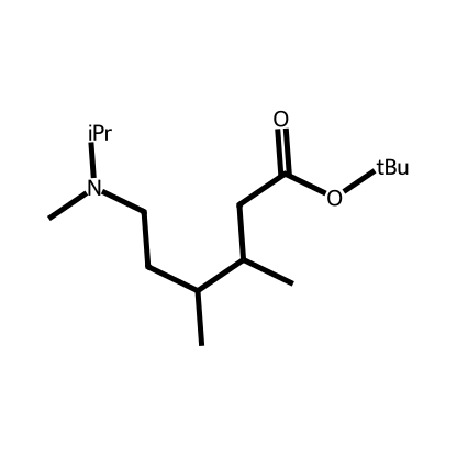 CC(CCN(C)C(C)C)C(C)CC(=O)OC(C)(C)C